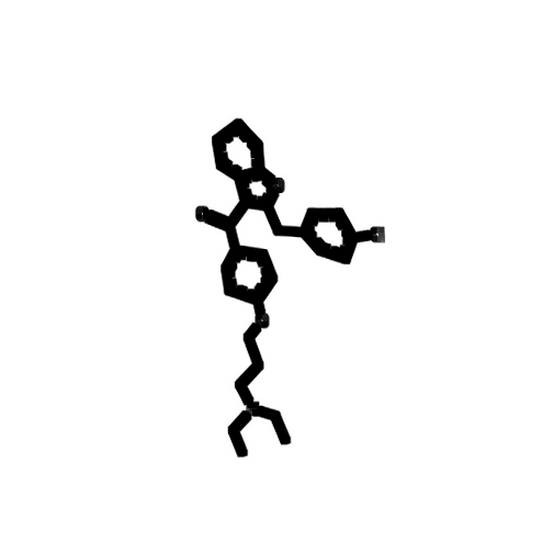 CCN(CC)CCCOc1ccc(C(=O)c2c(Cc3ccc(Cl)cc3)oc3ccccc23)cc1